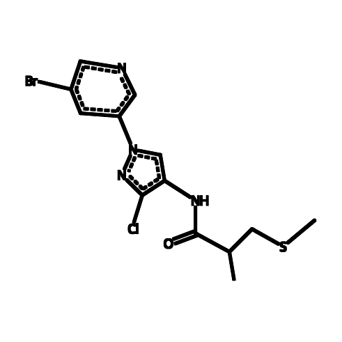 CSCC(C)C(=O)Nc1cn(-c2cncc(Br)c2)nc1Cl